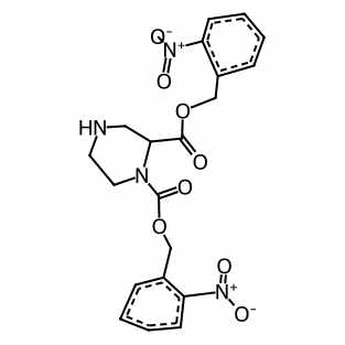 O=C(OCc1ccccc1[N+](=O)[O-])C1CNCCN1C(=O)OCc1ccccc1[N+](=O)[O-]